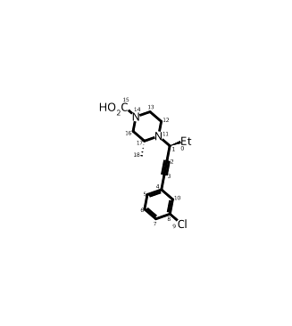 CC[C@@H](C#Cc1cccc(Cl)c1)N1CCN(C(=O)O)C[C@H]1C